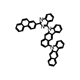 c1ccc2cc3c(cc2c1)c1ccccc1n3-c1cccc2cc3c(cc12)c1ccccc1n3-c1nc(-c2ccc3c(ccc4ccccc43)c2)nc2ccccc12